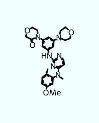 COc1ccc(C)c(N(C)c2ccnc(Nc3cc(N4CCOCC4)cc(N4CCOCC4=O)c3)n2)c1